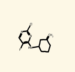 C=C1CCCC(Nc2nc(Cl)ncc2F)C1